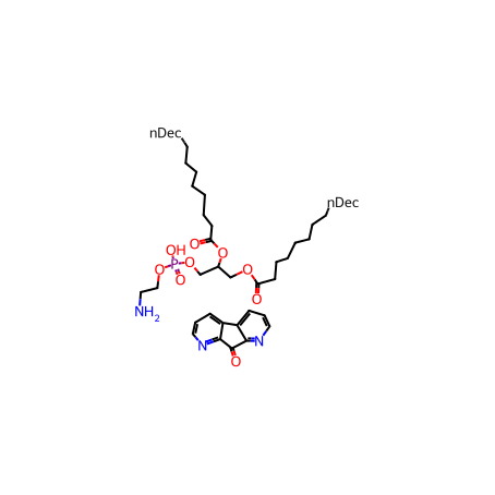 CCCCCCCCCCCCCCCCCC(=O)OCC(COP(=O)(O)OCCN)OC(=O)CCCCCCCCCCCCCCCCC.O=C1c2ncccc2-c2cccnc21